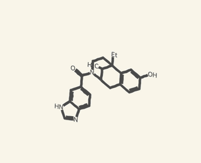 CCC12CCN(C(=O)c3ccc4nc[nH]c4c3)C(Cc3ccc(O)cc31)C2C